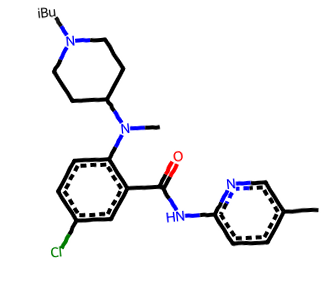 CCC(C)N1CCC(N(C)c2ccc(Cl)cc2C(=O)Nc2ccc(C)cn2)CC1